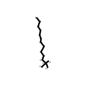 [CH2]CCCCCCCCCCC(C)(C)C